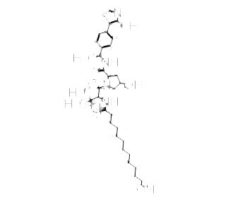 Cc1ncsc1-c1ccc(C(C)NC(=O)C2CC(O)CN2C(=O)C(NC(=O)CCCCCCCCCCCO)C(C)(C)C)cc1